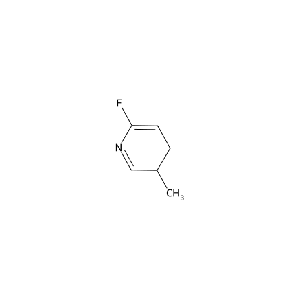 CC1C=NC(F)=CC1